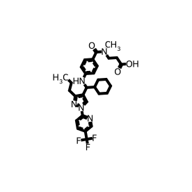 CCCc1nn(-c2ccc(C(F)(F)F)cn2)cc1C(Nc1ccc(C(=O)N(C)CCC(=O)O)cc1)C1CCCCC1